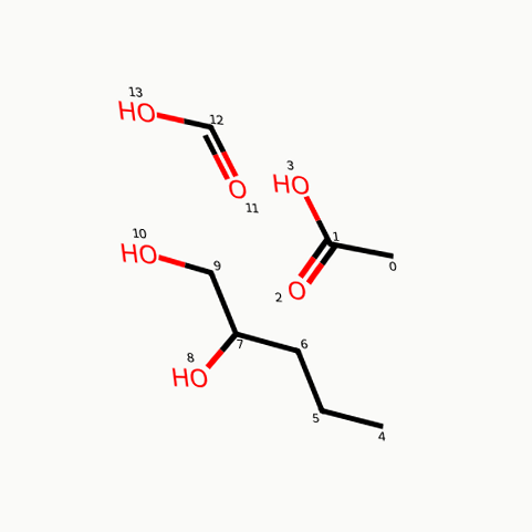 CC(=O)O.CCCC(O)CO.O=CO